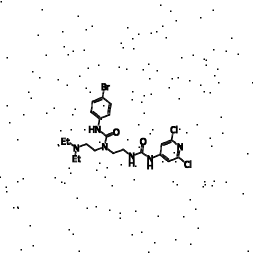 CCN(CC)CCN(CCNC(=O)Nc1cc(Cl)nc(Cl)c1)C(=O)Nc1ccc(Br)cc1